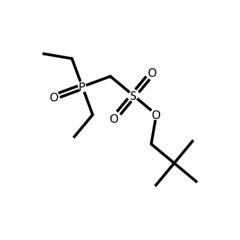 CCP(=O)(CC)CS(=O)(=O)OCC(C)(C)C